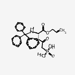 C=CCOC(=O)[C@H](CC(=O)CP(=O)(O)O)NC(c1ccccc1)(c1ccccc1)c1ccccc1